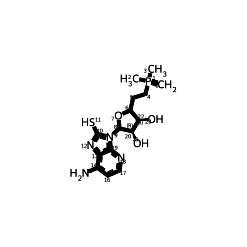 C=P(C)(C)CCC1OC(n2c(S)nc3c(N)ccnc32)[C@H](O)[C@@H]1O